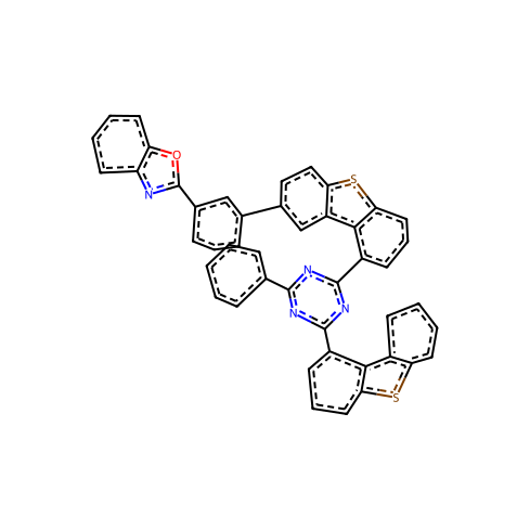 c1ccc(-c2nc(-c3cccc4sc5ccccc5c34)nc(-c3cccc4sc5ccc(-c6cccc(-c7nc8ccccc8o7)c6)cc5c34)n2)cc1